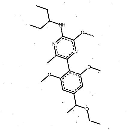 CCOC(C)c1cc(OC)c(-c2nc(OC)c(NC(CC)CC)nc2C)c(OC)c1